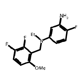 CCN(Cc1c(OC)ccc(F)c1F)c1ccc(F)c(N)c1